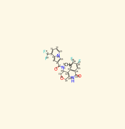 CN(C(=O)c1cc2c(C(F)F)cccn2c1)C1COCc2[nH]c(=O)c3cc(F)c(F)cc3c21